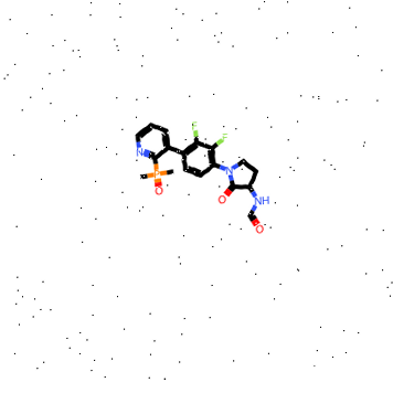 CP(C)(=O)c1ncccc1-c1ccc(N2CCC(NC=O)C2=O)c(F)c1F